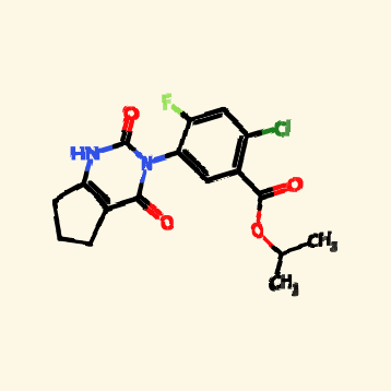 CC(C)OC(=O)c1cc(-n2c(=O)[nH]c3c(c2=O)CCC3)c(F)cc1Cl